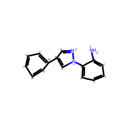 Nc1ccccc1-n1cc(-c2ccccc2)cn1